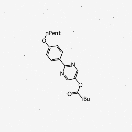 CCCCCOc1ccc(-c2ncc(OC(=O)C(C)CC)cn2)cc1